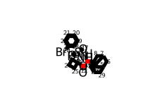 NC(=O)C12CC3CC(C1)C(NC(=O)C1(NS(=O)(=O)c4ccccc4Br)CCC1)C(C3)C2